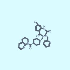 O=C1Nc2cc(Cl)ccc2C(=O)N(C[C@H]2CC[C@H](C(=O)N3CCCc4cccnc43)CC2)[C@@H]1Cc1ccccn1